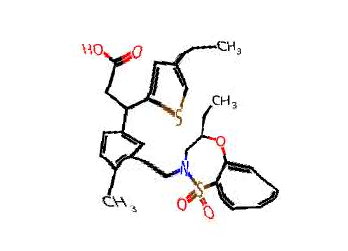 CCc1csc(C(CC(=O)O)c2ccc(C)c(CN3C[C@@H](CC)Oc4ccccc4S3(=O)=O)c2)c1